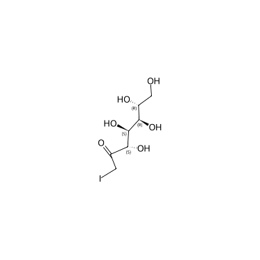 O=C(CI)[C@@H](O)[C@@H](O)[C@H](O)[C@H](O)CO